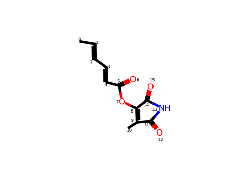 C/C=C/C=C/C(=O)OC1=C(C)C(=O)NC1=O